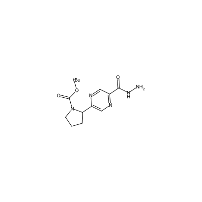 CC(C)(C)OC(=O)N1CCCC1c1cnc(C(=O)NN)cn1